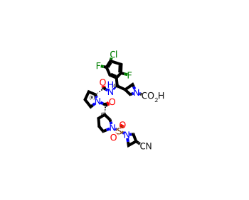 N#CC1CN(S(=O)(=O)N2CCC[C@H](C(=O)N3CCC[C@@H]3C(=O)N[C@@H](c3cc(F)c(Cl)cc3F)C3CN(C(=O)O)C3)C2)C1